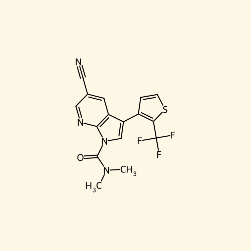 CN(C)C(=O)n1cc(-c2ccsc2C(F)(F)F)c2cc(C#N)cnc21